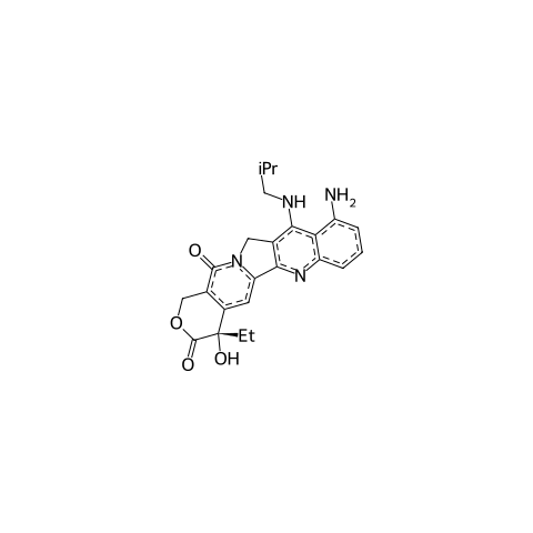 CC[C@@]1(O)C(=O)OCc2c1cc1n(c2=O)Cc2c-1nc1cccc(N)c1c2NCC(C)C